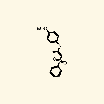 COc1ccc(N/C(C)=C/S(=O)(=O)c2ccccc2)cc1